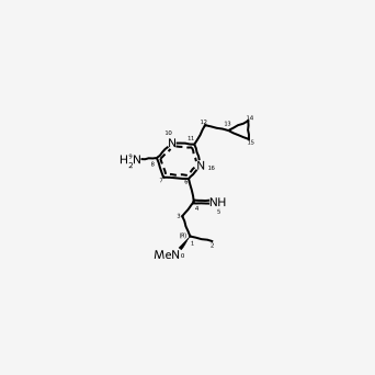 CN[C@H](C)CC(=N)c1cc(N)nc(CC2CC2)n1